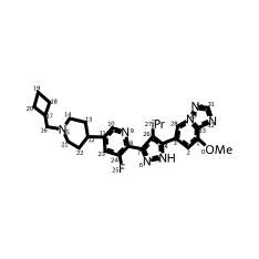 COc1cc(-c2[nH]nc(-c3ncc(C4CCN(CC5CCC5)CC4)cc3F)c2C(C)C)cn2ncnc12